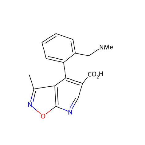 CNCc1ccccc1-c1c(C(=O)O)cnc2onc(C)c12